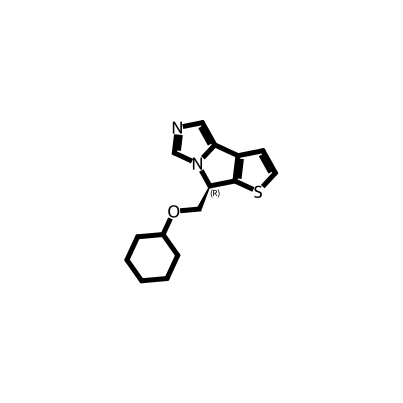 c1cc2c(s1)[C@@H](COC1CCCCC1)n1cncc1-2